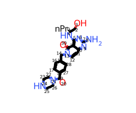 CCC[C@@H](CO)Nc1nc(N)nc2ccn(Cc3ccc(C(=O)N4CCNCC4)cc3)c(=O)c12